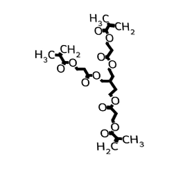 C=C(C)C(=O)OCCC(=O)OCCC(CCOC(=O)CCOC(=O)C(=C)C)COC(=O)CCOC(=O)C(=C)C